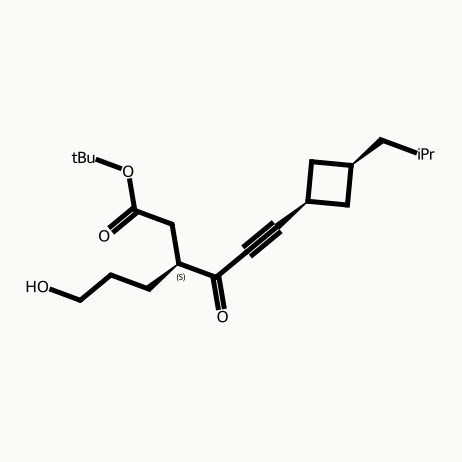 CC(C)C[C@H]1C[C@@H](C#CC(=O)[C@@H](CCCO)CC(=O)OC(C)(C)C)C1